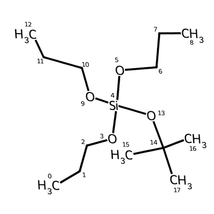 CCCO[Si](OCCC)(OCCC)OC(C)(C)C